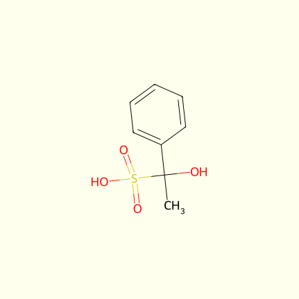 CC(O)(c1ccccc1)S(=O)(=O)O